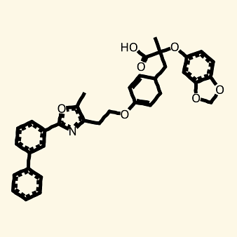 Cc1oc(-c2cccc(-c3ccccc3)c2)nc1CCOC1=CCC(CC(C)(Oc2ccc3c(c2)OCO3)C(=O)O)C=C1